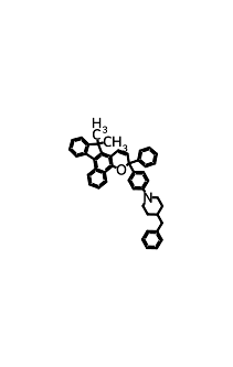 CC1(C)c2ccccc2-c2c1c1c(c3ccccc23)OC(c2ccccc2)(c2ccc(N3CCC(Cc4ccccc4)CC3)cc2)C=C1